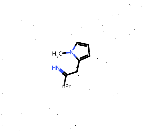 CCCC(=N)Cc1cccn1C